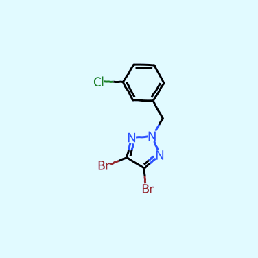 Clc1cccc(Cn2nc(Br)c(Br)n2)c1